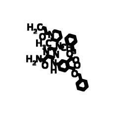 C=CC(=O)N1CCC[C@@H](N(C)c2cnc(C(N)=O)c(Nc3ccc(C(=O)OCc4ccccc4)c(C(=O)OCc4ccccc4)c3)n2)[C@H]1C